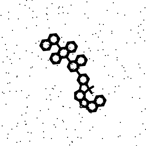 CC1(C)c2ccc(-c3ccc(-c4c5ccccc5c(-c5cccc6ccccc56)c5ccccc45)c4ccccc34)cc2-c2ccc3oc4ccc5ccccc5c4c3c21